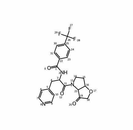 O=C(NC(Cc1ccncc1)C(=O)N1CCC2OCC(=O)C21)c1ccc(C(F)(F)F)cc1